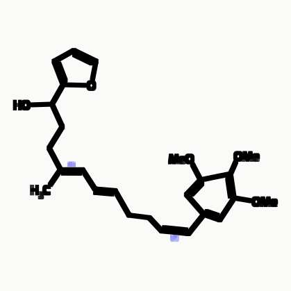 COc1cc(/C=C\CCC=C/C=C(\C)CCC(O)c2ccco2)cc(OC)c1OC